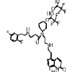 O=C(CCNCCc1cc(F)ccc1F)N(CCNCCc1ccc(O)c2[nH]c(=O)ccc12)C1CCCCC1.O=C(O)C(F)(F)F.O=C(O)C(F)(F)F